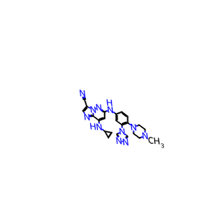 CN1CCN(c2ccc(Nc3cc(NC4CC4)c4ncc(C#N)n4n3)cc2-n2cnnc2)CC1